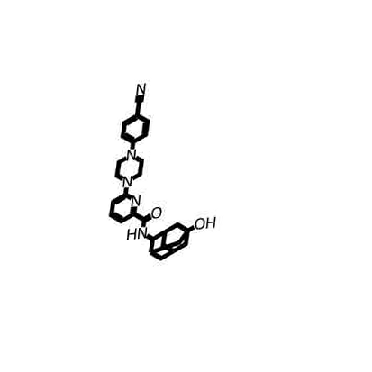 N#Cc1ccc(N2CCN(c3cccc(C(=O)NC4C5CC6CC4CC(O)(C6)C5)n3)CC2)cc1